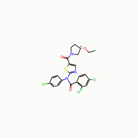 CCO[C@H]1CCN(C(=O)c2cnc(N(C(=O)c3ccc(Cl)cc3Cl)c3ccc(Cl)cc3)s2)C1